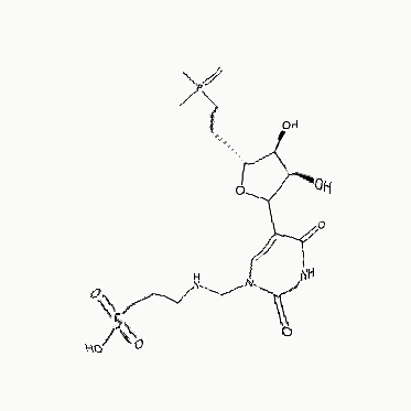 C=P(C)(C)CC[C@H]1OC(c2cn(CNCCS(=O)(=O)O)c(=O)[nH]c2=O)[C@H](O)[C@@H]1O